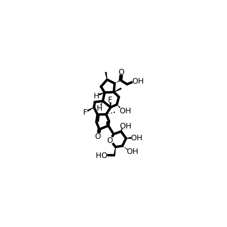 C[C@@H]1C[C@H]2[C@@H]3C[C@H](F)C4=CC(=O)C(C5O[C@H](CO)[C@@H](O)[C@H](O)[C@H]5O)=C[C@]4(C)[C@@]3(F)[C@@H](O)C[C@@]2(C)[C@H]1C(=O)CO